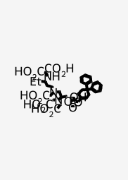 CCC(CCN(CC(=O)O)CC(COP(=O)(O)OC1CCC(c2ccccc2)(c2ccccc2)CC1)N(CC(=O)O)CC(=O)O)NC(C(=O)O)C(=O)O